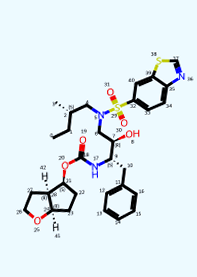 CC[C@H](C)CN(C[C@@H](O)[C@H](Cc1ccccc1)NC(=O)O[C@H]1CC[C@H]2OCC[C@@H]12)S(=O)(=O)c1ccc2ncsc2c1